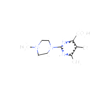 CCc1c(C)nc(N2CCN(C)CC2)nc1C(=O)O